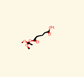 COC(C)(OC)OC(=O)CCCC(=O)O